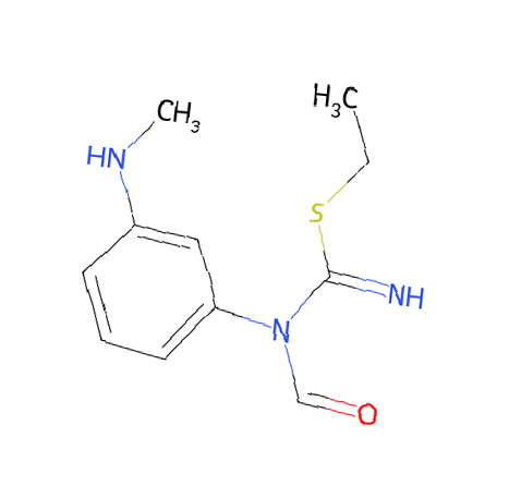 CCSC(=N)N(C=O)c1cccc(NC)c1